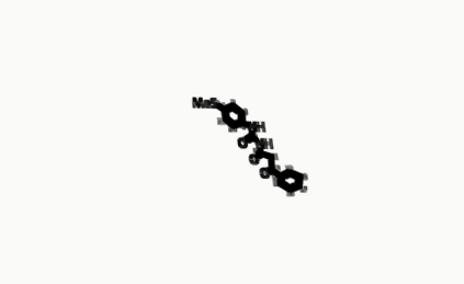 CSc1ccc(NC(=O)NC(=O)CC(=O)c2ccccc2)cc1